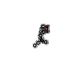 c1ccc(-c2ccc(-c3nc(-c4ccccc4)nc(-c4ccc5sc6c7c(ccc6c5c4)C4(c5ccccc5O7)c5ccccc5-c5ccccc54)n3)cc2)cc1